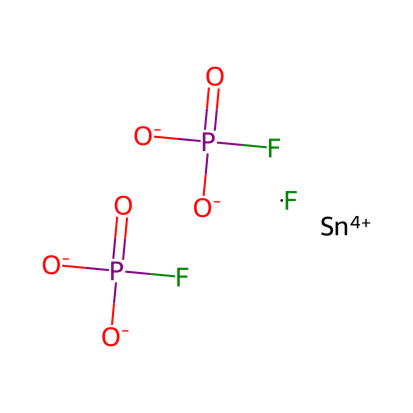 O=P([O-])([O-])F.O=P([O-])([O-])F.[F].[Sn+4]